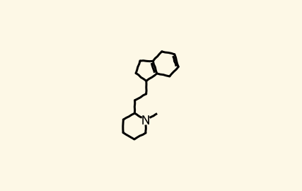 CN1CCCCC1CCC1CCC2=C1CC=CC2